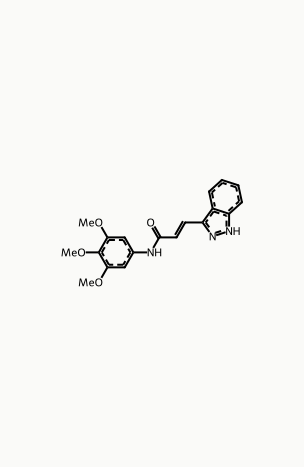 COc1cc(NC(=O)C=Cc2n[nH]c3ccccc23)cc(OC)c1OC